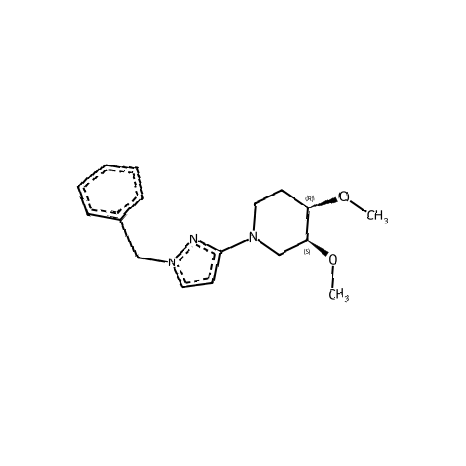 CO[C@H]1CN(c2ccn(Cc3ccccc3)n2)CC[C@H]1OC